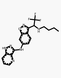 CCCCNC(c1noc2cc(Nc3n[nH]c4cccnc34)ccc12)C(F)(F)F